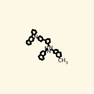 CC1C=Cc2ccc(-c3nc(-c4cccc(-c5ccc(-n6c7ccccc7c7cc8ccccc8cc76)cc5)c4)nc(-c4ccc5ccccc5c4)n3)cc2C1